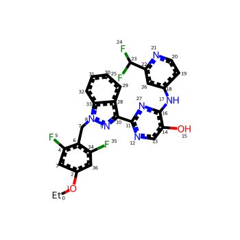 CCOc1cc(F)c(Cn2nc(-c3ncc(O)c(Nc4ccnc(C(F)F)c4)n3)c3ccccc32)c(F)c1